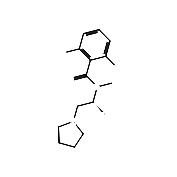 CC(C)[C@@H](CN1CCCC1)N(C)C(=O)c1c(F)cccc1F